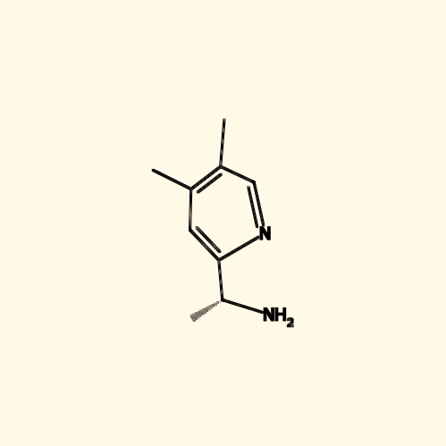 Cc1cnc([C@@H](C)N)cc1C